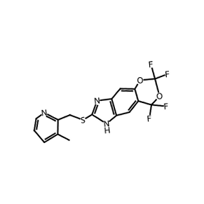 Cc1cccnc1CSc1nc2cc3c(cc2[nH]1)C(F)(F)OC(F)(F)O3